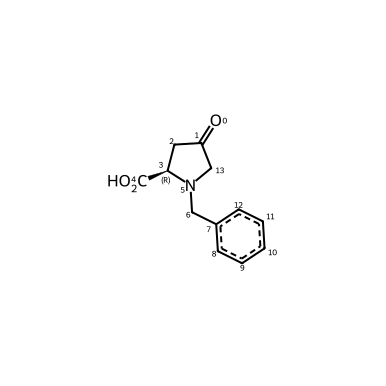 O=C1C[C@H](C(=O)O)N(Cc2ccccc2)C1